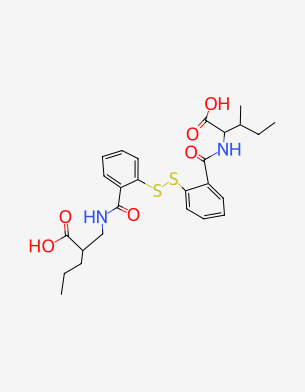 CCCC(CNC(=O)c1ccccc1SSc1ccccc1C(=O)NC(C(=O)O)C(C)CC)C(=O)O